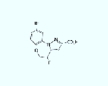 O=C(O)c1cc2n(n1)-c1cc(Br)ccc1OCC2F